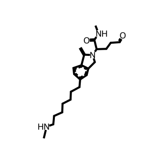 C=C1c2ccc(CCCCCCCNC)cc2CN1C(CCC=O)C(=O)NC